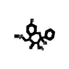 CCC1(c2ccccc2)Sc2cc(Cl)ccc2N(CC(=O)O)C(=O)C1N